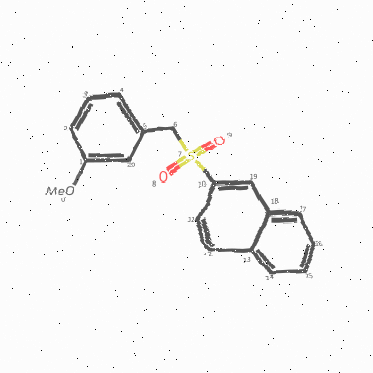 COc1cccc(CS(=O)(=O)c2ccc3ccccc3c2)c1